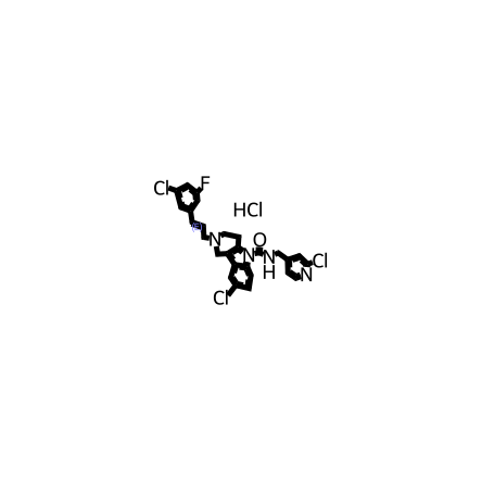 Cl.O=C(NCc1ccnc(Cl)c1)n1c2c(c3cc(Cl)ccc31)CN(C/C=C/c1cc(F)cc(Cl)c1)CC2